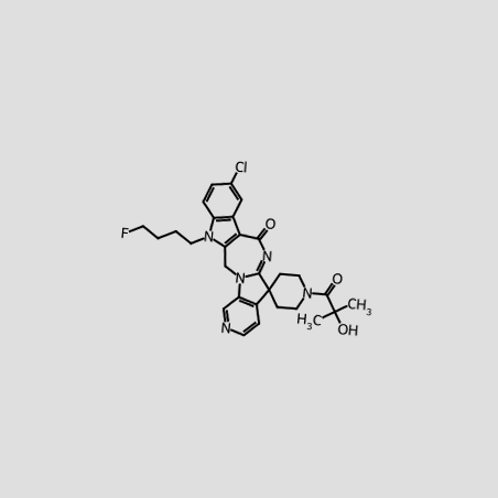 CC(C)(O)C(=O)N1CCC2(CC1)C1=NC(=O)c3c(n(CCCCF)c4ccc(Cl)cc34)CN1c1cnccc12